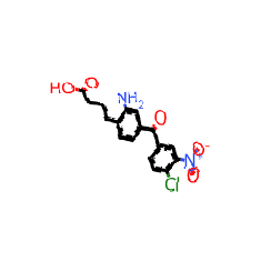 Nc1cc(C(=O)c2ccc(Cl)c([N+](=O)[O-])c2)ccc1CCCC(=O)O